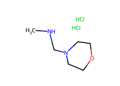 CNCN1CCOCC1.Cl.Cl